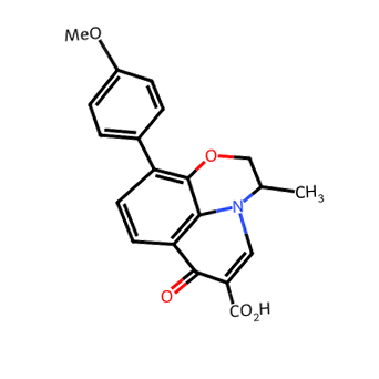 COc1ccc(-c2ccc3c(=O)c(C(=O)O)cn4c3c2OCC4C)cc1